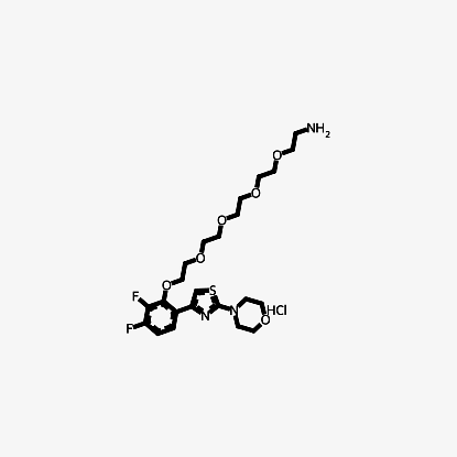 Cl.NCCOCCOCCOCCOCCOc1c(-c2csc(N3CCOCC3)n2)ccc(F)c1F